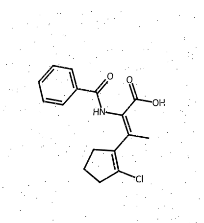 CC(C1=C(Cl)CCC1)=C(NC(=O)c1ccccc1)C(=O)O